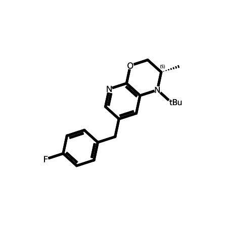 C[C@H]1COc2ncc(Cc3ccc(F)cc3)cc2N1C(C)(C)C